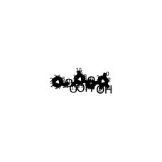 Cc1cc(C)c(O)c(-c2ccc(-c3cc(C)cc(C(=O)OCc4ccccc4)c3O)o2)c1